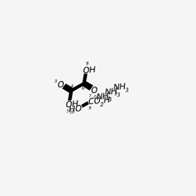 N.N.N.O=C(O)C(=O)O.O=C(O)O